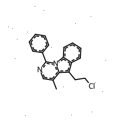 Cc1cnc(-c2ccccc2)n2c1c(CCCl)c1ccccc12